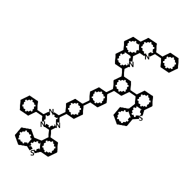 c1ccc(-c2ccc3ccc4ccc(-c5cc(-c6ccc(-c7ccc(-c8nc(-c9ccccc9)nc(-c9cccc%10sc%11ccccc%11c9%10)n8)cc7)cc6)cc(-c6cccc7sc8ccccc8c67)c5)nc4c3n2)cc1